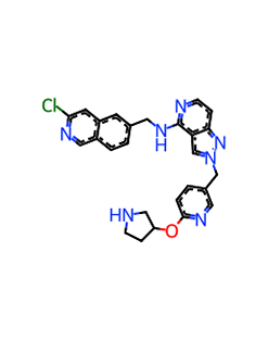 Clc1cc2cc(CNc3nccc4nn(Cc5ccc(OC6CCNC6)nc5)cc34)ccc2cn1